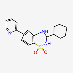 O=S1(=O)NC(C2CCCCC2)Nc2cc(-c3ccccn3)ccc21